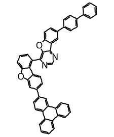 c1ccc(-c2ccc(-c3ccc4oc5c(-c6cccc7oc8cc(-c9ccc%10c%11ccccc%11c%11ccccc%11c%10c9)ccc8c67)ncnc5c4c3)cc2)cc1